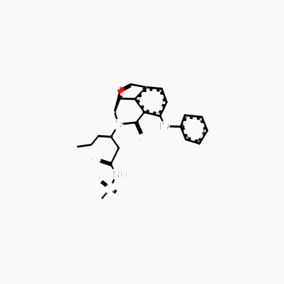 CCCC(CC(=O)NS(C)(=O)=O)N1C(=O)c2c(Nc3ccccc3)ccc3c2C(=O)C1C=C3